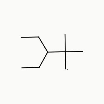 [CH2]C(C)(C)C(CC)CC